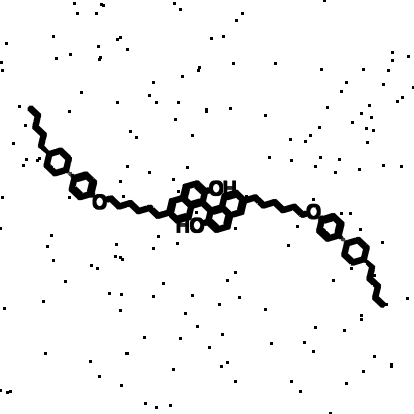 CCCCC[C@H]1CC[C@H](c2ccc(OCCCCCCc3ccc4c(-c5c(O)ccc6cc(CCCCCCOc7ccc([C@H]8CC[C@H](CCCCC)CC8)cc7)ccc56)c(O)ccc4c3)cc2)CC1